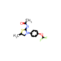 C=C1CN(c2ccc(OC(F)F)cc2)C(=NC(C)=O)S1